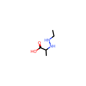 CCNNC(C)C(=O)O